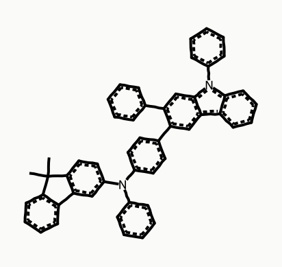 CC1(C)c2ccccc2-c2cc(N(c3ccccc3)c3ccc(-c4cc5c6ccccc6n(-c6ccccc6)c5cc4-c4ccccc4)cc3)ccc21